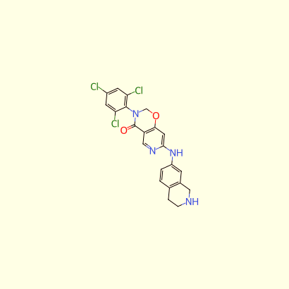 O=C1c2cnc(Nc3ccc4c(c3)CNCC4)cc2OCN1c1c(Cl)cc(Cl)cc1Cl